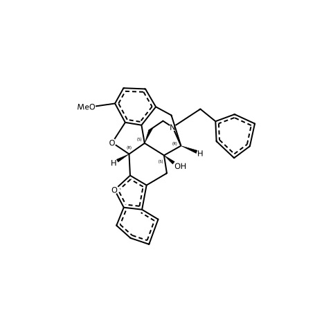 COc1ccc2c3c1O[C@H]1c4oc5ccccc5c4C[C@@]4(O)[C@@H](C2)N(Cc2ccccc2)CC[C@]314